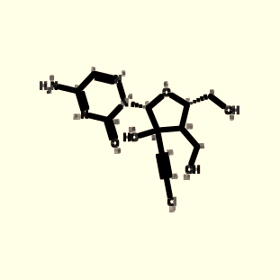 Nc1cnn([C@@H]2O[C@H](CO)C(CO)C2(O)C#CCl)c(=O)n1